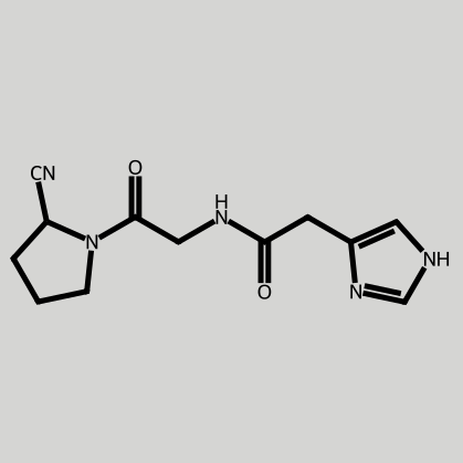 N#CC1CCCN1C(=O)CNC(=O)Cc1c[nH]cn1